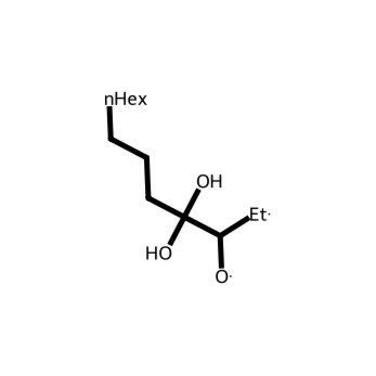 C[CH]C([O])C(O)(O)CCCCCCCCC